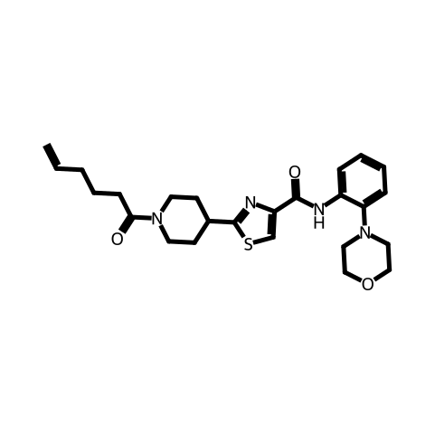 C=CCCCC(=O)N1CCC(c2nc(C(=O)Nc3ccccc3N3CCOCC3)cs2)CC1